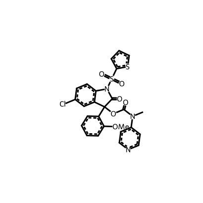 COc1ccccc1C1(OC(=O)N(C)c2ccncc2)C(=O)N(S(=O)(=O)c2cccs2)c2ccc(Cl)cc21